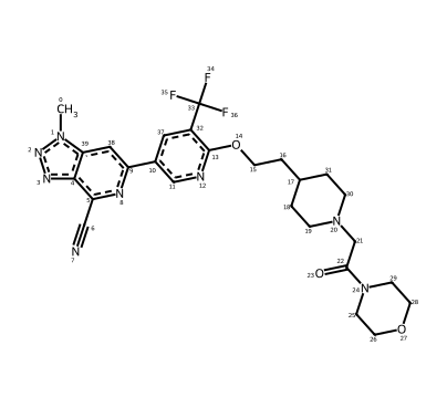 Cn1nnc2c(C#N)nc(-c3cnc(OCCC4CCN(CC(=O)N5CCOCC5)CC4)c(C(F)(F)F)c3)cc21